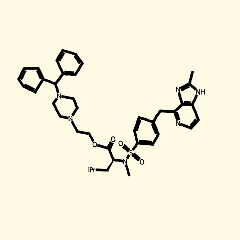 Cc1nc2c(Cc3ccc(S(=O)(=O)N(C)[C@@H](CC(C)C)C(=O)OCCN4CCN(C(c5ccccc5)c5ccccc5)CC4)cc3)nccc2[nH]1